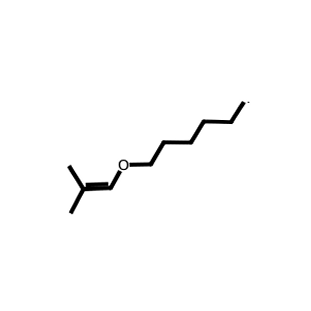 [CH2]CCCCCOC=C(C)C